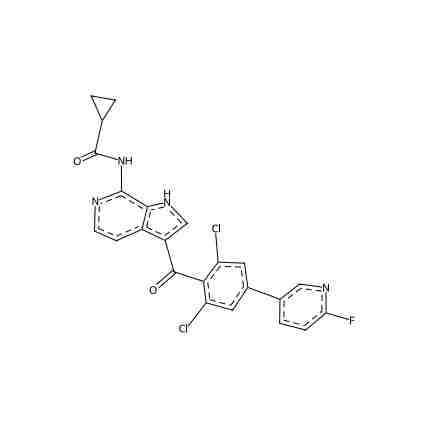 O=C(c1c(Cl)cc(-c2ccc(F)nc2)cc1Cl)c1c[nH]c2c(NC(=O)C3CC3)nccc12